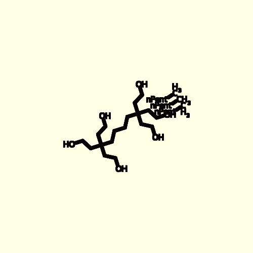 CCCCCC.CCCCCC.CCCCCC.OCCC(CCO)(CCO)CCCCC(CCO)(CCO)CCO